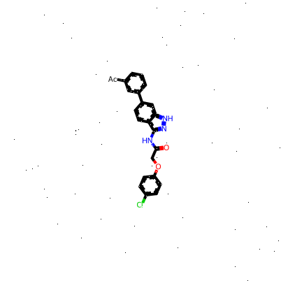 CC(=O)c1cccc(-c2ccc3c(NC(=O)COc4ccc(Cl)cc4)n[nH]c3c2)c1